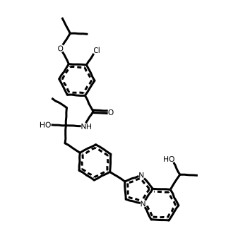 CCC(O)(Cc1ccc(-c2cn3cccc(C(C)O)c3n2)cc1)NC(=O)c1ccc(OC(C)C)c(Cl)c1